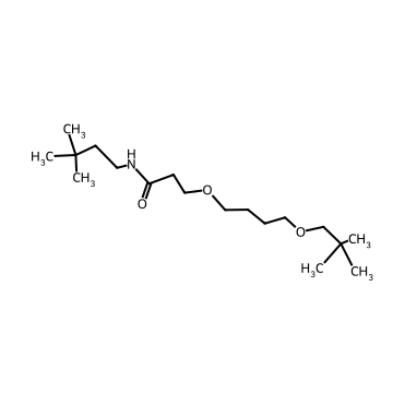 CC(C)(C)CCNC(=O)CCOCCCCOCC(C)(C)C